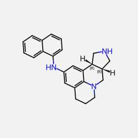 c1ccc2c(Nc3cc4c5c(c3)[C@@H]3CNC[C@@H]3CN5CCC4)cccc2c1